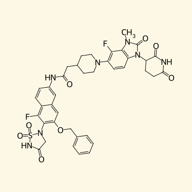 Cn1c(=O)n(C2CCC(=O)NC2=O)c2ccc(N3CCC(CC(=O)Nc4ccc5c(F)c(N6CC(=O)NS6(=O)=O)c(OCc6ccccc6)cc5c4)CC3)c(F)c21